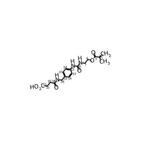 C=C(C)C(=O)OCCNC(=O)Nc1ccc(CNC(=O)CCC(=O)O)cc1